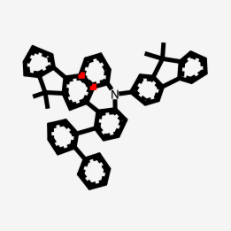 CC1(C)c2ccccc2-c2ccc(-c3c(-c4ccccc4-c4ccccc4)cccc3N(c3ccccc3)c3ccc4c(c3)C(C)(C)c3ccccc3-4)cc21